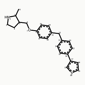 CC1NCCC1COc1ccc(Cc2ccc(-c3ccsc3)cc2)cc1